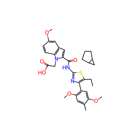 C1CC2CC2C1.CCc1sc(NC(=O)c2cc3cc(OC)ccc3n2CC(=O)O)nc1-c1cc(OC)c(C)cc1OC